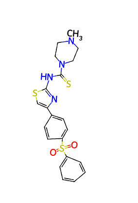 CN1CCN(C(=S)Nc2nc(-c3ccc(S(=O)(=O)c4ccccc4)cc3)cs2)CC1